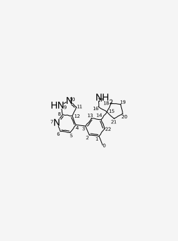 Cc1cc(-c2ccnc3[nH]ncc23)cc(C2(CN)CCCC2)c1